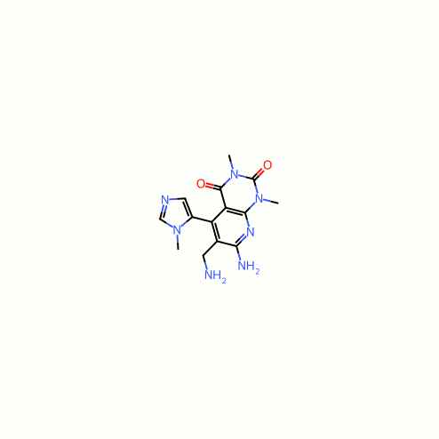 Cn1cncc1-c1c(CN)c(N)nc2c1c(=O)n(C)c(=O)n2C